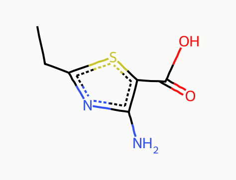 CCc1nc(N)c(C(=O)O)s1